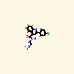 NCCNC(=O)c1cc(-c2ccc(F)cc2)nc2ccccc12